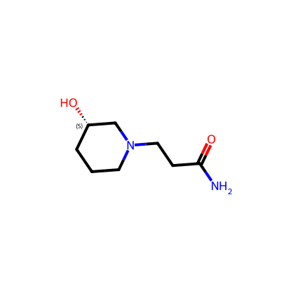 NC(=O)CCN1CCC[C@H](O)C1